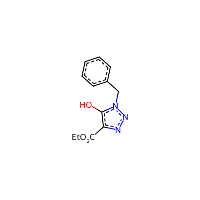 CCOC(=O)c1nnn(Cc2ccccc2)c1O